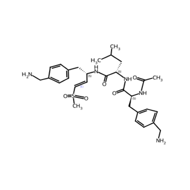 CC(=O)N[C@@H](Cc1ccc(CN)cc1)C(=O)N[C@@H](CC(C)C)C(=O)N[C@H](/C=C/S(C)(=O)=O)Cc1ccc(CN)cc1